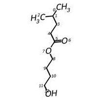 CC(C)CCC(=O)OCCCCO